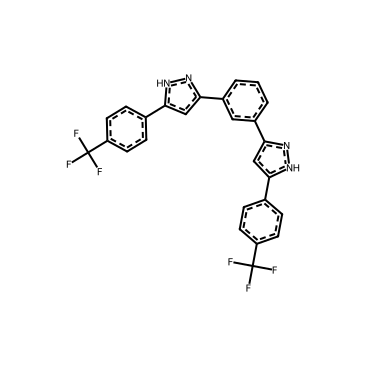 FC(F)(F)c1ccc(-c2cc(-c3cccc(-c4cc(-c5ccc(C(F)(F)F)cc5)[nH]n4)c3)n[nH]2)cc1